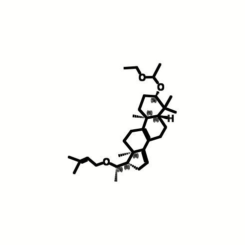 CCOC(C)O[C@H]1CC[C@]2(C)C3=C(CC[C@H]2C1(C)C)C1=CC[C@H]([C@H](C)OCC=C(C)C)[C@@]1(C)CC3